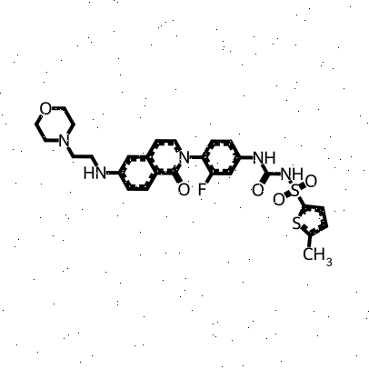 Cc1ccc(S(=O)(=O)NC(=O)Nc2ccc(-n3ccc4cc(NCCN5CCOCC5)ccc4c3=O)c(F)c2)s1